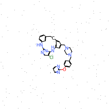 Clc1cnc2nc1Nc1cc(cc(CN3CCN(Cc4ccc(Oc5ncccn5)cc4)CC3)c1)CCc1cccc(c1)N2